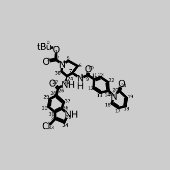 CC(C)(C)OC(=O)N1CCC(NC(=O)c2ccc(-n3ccccc3=O)cc2)[C@@H](NC(=O)c2ccc3c(Cl)c[nH]c3c2)C1